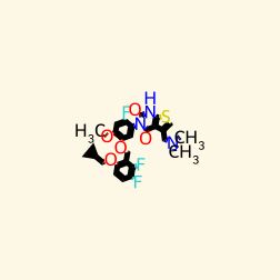 COc1cc(F)c(-n2c(=O)[nH]c3scc(CN(C)C)c3c2=O)cc1OCc1c(OCC2CC2)ccc(F)c1F